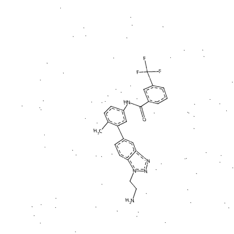 Cc1ccc(NC(=O)c2cccc(C(F)(F)F)c2)cc1-c1ccc2c(c1)nnn2CCN